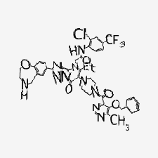 CCc1c(N2CCN(C(=O)c3ncnc(C)c3OCc3ccccc3)CC2)c(=O)n2nc(-c3ccc4c(c3)CNCCO4)nc2n1CC(=O)Nc1ccc(C(F)(F)F)cc1Cl